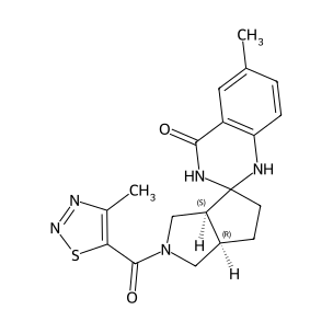 Cc1ccc2c(c1)C(=O)NC1(CC[C@H]3CN(C(=O)c4snnc4C)C[C@H]31)N2